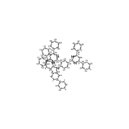 c1ccc(-c2ccc3c4ccc(-c5ccccc5)cc4n(-c4ccc(-c5nc(-c6ccccc6)cc(-c6ccccc6)n5)cc4-c4nc(-c5ccccc5)cc(-c5ccccc5)n4)c3c2)cc1